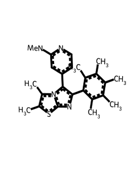 CNc1cc(-c2c(-c3c(C)c(C)c(C)c(C)c3C)nc3sc(C)c(C)n23)ccn1